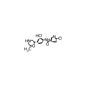 C[C@@H]1CNC[C@H](c2ccc(NC(=O)c3ccc(Cl)nc3)cc2)O1.Cl